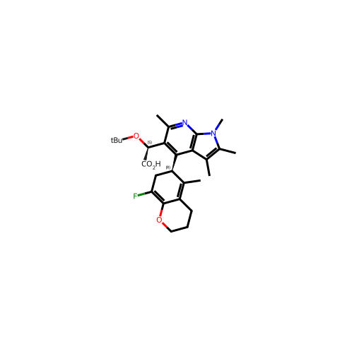 CC1=C2CCCOC2=C(F)C[C@H]1c1c([C@H](OC(C)(C)C)C(=O)O)c(C)nc2c1c(C)c(C)n2C